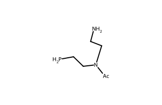 CC(=O)N(CCN)CCP